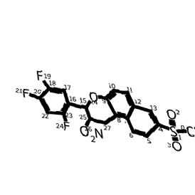 CS(=O)(=O)c1ccc2c3c(ccc2c1)OC(c1cc(F)c(F)cc1F)C([N+](=O)[O-])C3